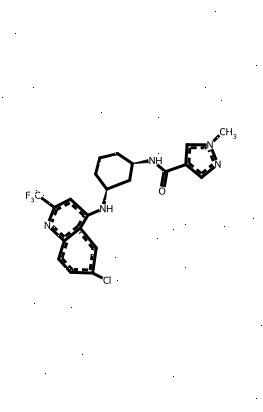 Cn1cc(C(=O)N[C@@H]2CCC[C@H](Nc3cc(C(F)(F)F)nc4ccc(Cl)cc34)C2)cn1